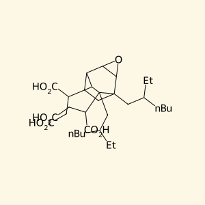 CCCCC(CC)CC12CCC(C3OC31)C(C(CC(=O)O)C(=O)O)C2(CC(CC)CCCC)C(CC(=O)O)C(=O)O